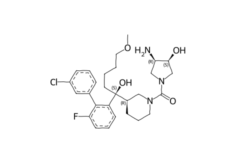 COCCCC[C@@](O)(c1cccc(F)c1-c1cccc(Cl)c1)[C@@H]1CCCN(C(=O)N2C[C@@H](N)[C@@H](O)C2)C1